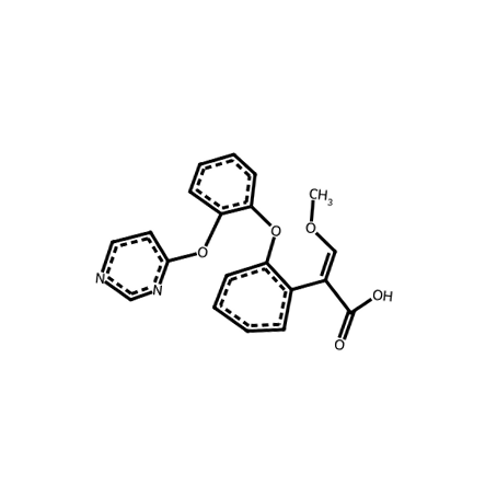 CO/C=C(/C(=O)O)c1ccccc1Oc1ccccc1Oc1ccncn1